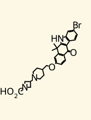 CC1(C)c2cc(OCC3CCN(C4CN(C(=O)O)C4)CC3)ccc2C(=O)c2c1[nH]c1cc(Br)ccc21